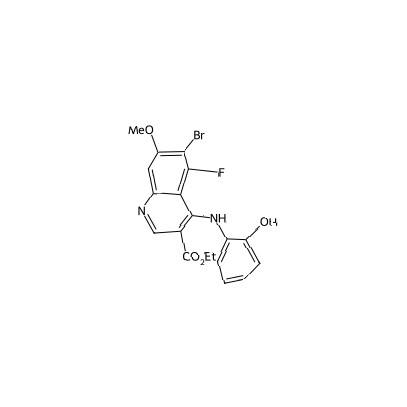 CCOC(=O)c1cnc2cc(OC)c(Br)c(F)c2c1Nc1ccccc1O